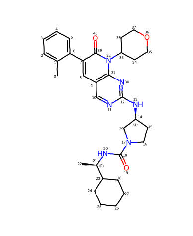 Cc1ccccc1-c1cc2cnc(N[C@H]3CCN(C(=O)N[C@H](C)C4CCCCC4)C3)nc2n(C2CCOCC2)c1=O